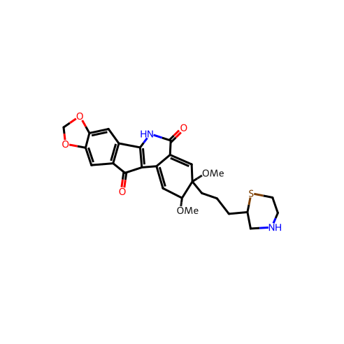 COC1C=c2c3c([nH]c(=O)c2=CC1(CCCC1CNCCS1)OC)-c1cc2c(cc1C3=O)OCO2